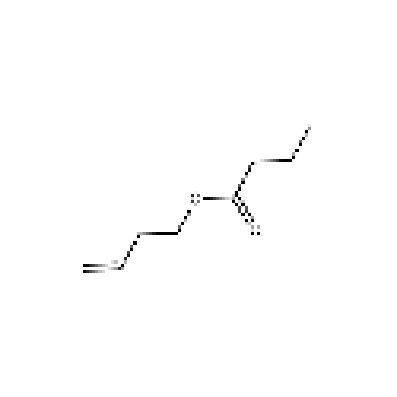 [CH2]CCC(=O)OCCC=C